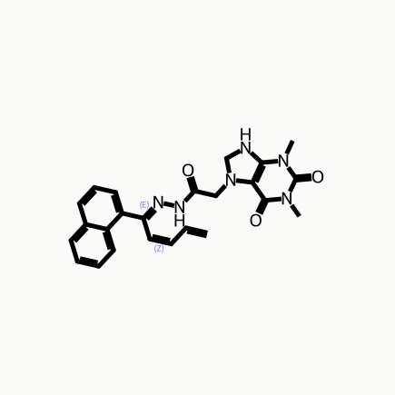 C=C/C=C\C(=N/NC(=O)CN1CNc2c1c(=O)n(C)c(=O)n2C)c1cccc2ccccc12